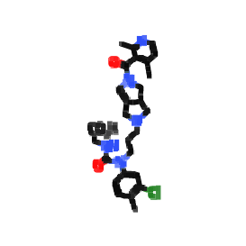 Cc1ccc(N(CCCN2CC3=CN(C(=O)c4c(C)ccnc4C)CC3C2)C(=O)NCC(=O)O)cc1Cl